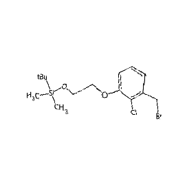 CC(C)(C)[Si](C)(C)OCCOc1cccc(CBr)c1Cl